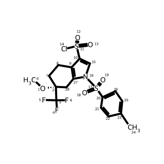 CO[C@]1(C(F)(F)F)CCc2c(S(=O)(=O)Cl)cn(S(=O)(=O)c3ccc(C)cc3)c2C1